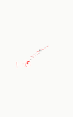 CCCCCCCCCCCC.CCCCCCCCCCCCCCCCCCCCCC(=O)O